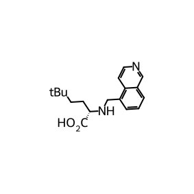 CC(C)(C)CC[C@H](NCc1cccc2cnccc12)C(=O)O